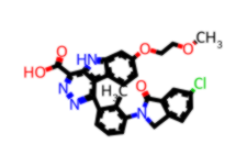 COCCOc1ccc2c(c1)[nH]c1c(C(=O)O)nnc(-c3cccc(N4Cc5ccc(Cl)cc5C4=O)c3C)c12